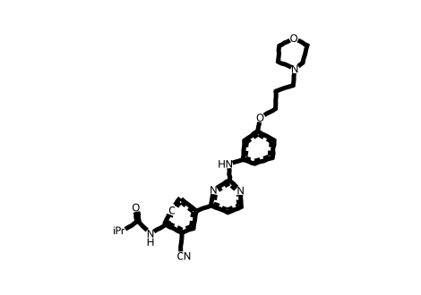 CC(C)C(=O)Nc1ccc(-c2ccnc(Nc3cccc(OCCCN4CCOCC4)c3)n2)cc1C#N